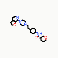 O=C(NC1CCC(CCN2CCN(c3nccc4c3OCC4)CC2)CC1)[C@H]1CCCOC1